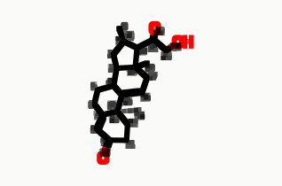 C[C@@H]1CC2C3CCC4=CC(=O)CC[C@]4(C)C3=CCC2(C)C1C(=O)CO